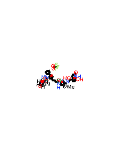 COc1cc(NC(=O)CCCc2ccc(-c3ccccc3)c(NC(=O)O[C@@H]3C[C@@H]4[C@H]5O[C@H]5[C@H](C3)[N+]4(C)C)c2)c(Cl)cc1CNC[C@H](O)c1ccc(O)c2[nH]c(=O)ccc12.O=C([O-])C(F)(F)F